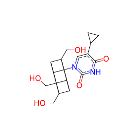 O=c1[nH]c(=O)n(C23C4C5C6(CO)C(C2C46CO)C53CO)cc1C1CC1